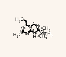 CCCN1CN=C([Si](C)(C)C)NC1=NC(C)=O